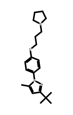 Cc1cc(C(C)(C)C)nn1-c1ccc(OCCCN2CCCC2)cc1